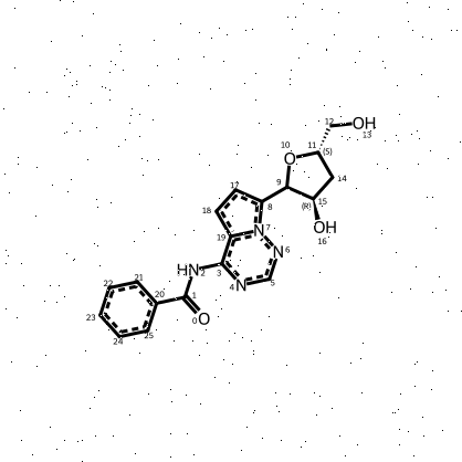 O=C(Nc1ncnn2c(C3O[C@H](CO)C[C@H]3O)ccc12)c1ccccc1